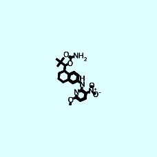 COc1ccc([N+](=O)[O-])c(Nc2ccc3c(c2)CCCC3C(OC(N)=O)C(C)(C)C)n1